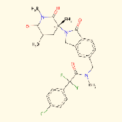 BC1C[C@@](B)(N2Cc3cc(CN(B)C(=O)C(F)(F)c4ccc(Cl)cc4)ccc3C2=O)C(=O)N(B)C1=O